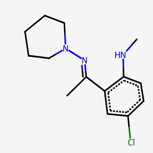 CNc1ccc(Cl)cc1/C(C)=N/N1CCCCC1